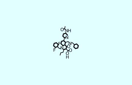 CCCc1c(C(=O)O)c(=O)c2c(CN(C)Cc3ccccc3)c(-c3ccc(NC(C)=O)cn3)ccc2n1Cc1c(F)cccc1F